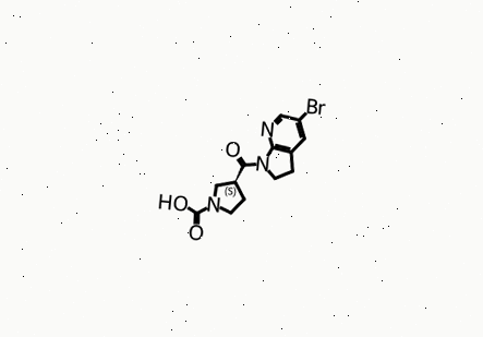 O=C(O)N1CC[C@H](C(=O)N2CCc3cc(Br)cnc32)C1